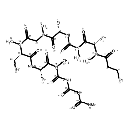 CC[C@H](NC(=O)N(C)C(=O)[C@H](C(C)C)N(C)C(=O)CCC(C)C)C(=O)N(C)CC(=O)N(C)[C@@H](CC(C)C)C(=O)N[C@H](C(=O)N(C)C(=O)NC(=O)NC(=O)NC)C(C)C